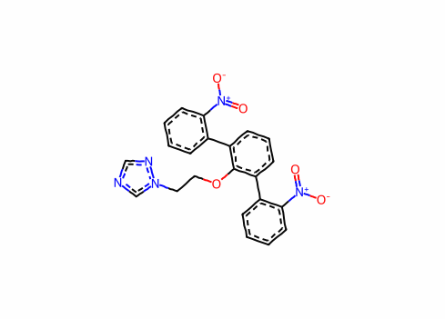 O=[N+]([O-])c1ccccc1-c1cccc(-c2ccccc2[N+](=O)[O-])c1OCCn1cncn1